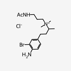 CC(=O)NCCC[N+](C)(C)C(C)CCc1ccc(N)c(Br)c1.[Cl-]